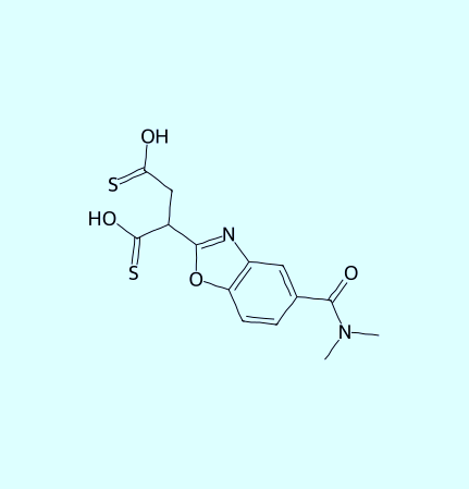 CN(C)C(=O)c1ccc2oc(C(CC(O)=S)C(O)=S)nc2c1